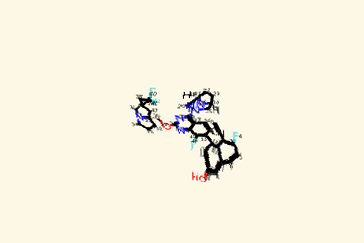 C#Cc1c(F)ccc2cc(O)cc(-c3c(C#N)cc4c(N5C[C@H]6CC[C@@H](C5)N6)nc(OC[C@]56CCCN5C[C@]5(CC5(F)F)C6)nc4c3F)c12